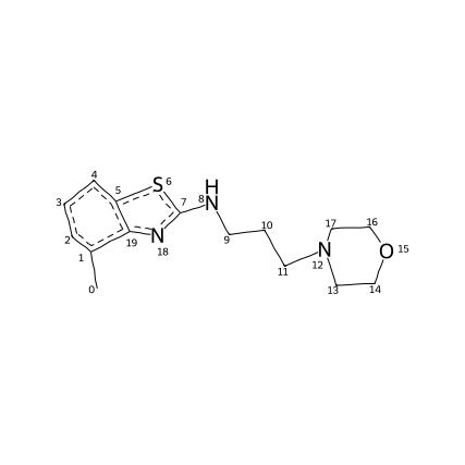 Cc1cccc2sc(NCCCN3CCOCC3)nc12